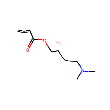 C=CC(=O)OCCCCN(C)C.I